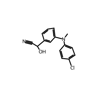 CN(c1ccc(Cl)cc1)c1cccc(C(O)C#N)c1